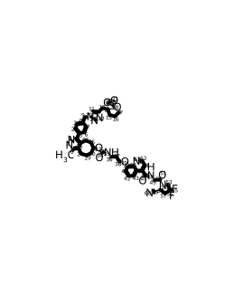 Cc1nnc(-c2ccc(Cn3cc(CC4CCCOS4(=O)=O)nn3)cc2)c2c1CCCC(OC(=O)NCCCOc1cccc3c(C(=O)NCC(=O)N4CC(F)(F)C[C@H]4C#N)ccnc13)CC2